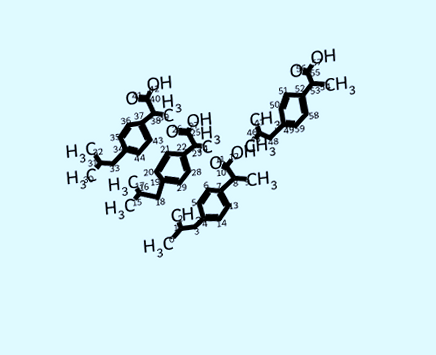 CC(C)Cc1ccc(C(C)C(=O)O)cc1.CC(C)Cc1ccc(C(C)C(=O)O)cc1.CC(C)Cc1ccc(C(C)C(=O)O)cc1.CC(C)Cc1ccc(C(C)C(=O)O)cc1